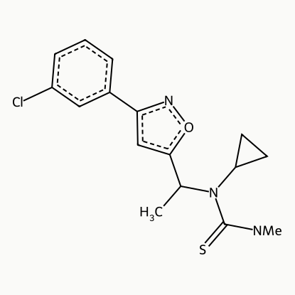 CNC(=S)N(C1CC1)C(C)c1cc(-c2cccc(Cl)c2)no1